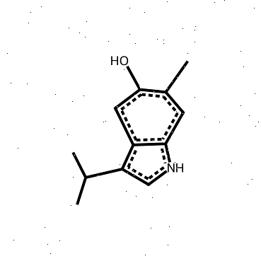 Cc1cc2[nH]cc(C(C)C)c2cc1O